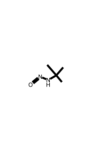 CC(C)(C)NN=O